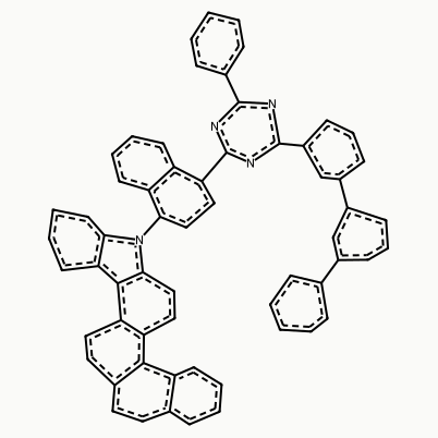 c1ccc(-c2cccc(-c3cccc(-c4nc(-c5ccccc5)nc(-c5ccc(-n6c7ccccc7c7c8ccc9ccc%10ccccc%10c9c8ccc76)c6ccccc56)n4)c3)c2)cc1